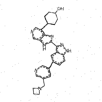 OC1CCC(c2cncc3[nH]c(-c4n[nH]c5ccc(-c6cncc(CN7CCC7)c6)cc45)nc23)CC1